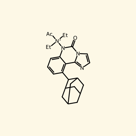 CC[N+](CC)(C(C)=O)n1c(=O)n2ccnc2c2c(C3C4CC5CC(C4)CC3C5)cccc21